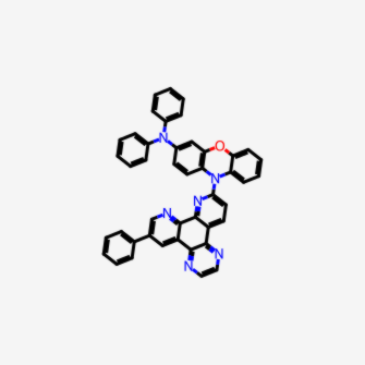 c1ccc(-c2cnc3c(c2)c2nccnc2c2ccc(N4c5ccccc5Oc5cc(N(c6ccccc6)c6ccccc6)ccc54)nc23)cc1